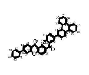 O=c1c2cc(-c3ccc4c5ccccc5c5ccccc5c4c3)ccc2oc2c1ccc1oc3cc(-c4ccccc4)ccc3c(=O)c12